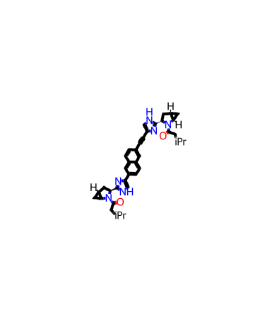 CC(C)CC(=O)N1C2C[C@@H]2C[C@H]1c1nc(-c2ccc3cc(C#Cc4c[nH]c([C@@H]5C[C@H]6C[C@H]6N5C(=O)CC(C)C)n4)ccc3c2)c[nH]1